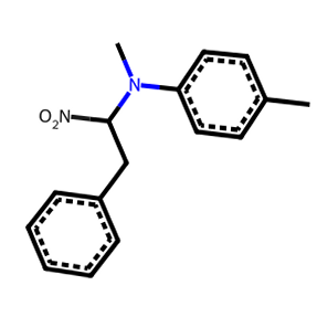 Cc1ccc(N(C)C(Cc2ccccc2)[N+](=O)[O-])cc1